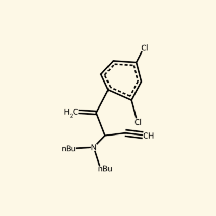 C#CC(C(=C)c1ccc(Cl)cc1Cl)N(CCCC)CCCC